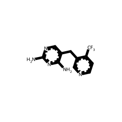 Nc1ncc(Cc2cnccc2C(F)(F)F)c(N)n1